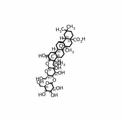 CC1(C)CC[C@]2(C(=O)O)CC[C@]3(C)C(=CC[C@@H]4[C@@]5(C)C[C@H](O)[C@H](O[C@@H]6O[C@H](CO)[C@@H](O[C@@H]7O[C@H](CO)[C@@H](O)[C@H](O)[C@H]7O)[C@H](O)[C@H]6O)[C@@](C)(CO)[C@@H]5CC[C@]43C)[C@@H]2C1